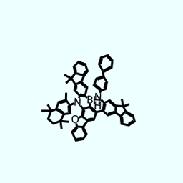 Cc1cc2c(cc1N1c3cc4c(cc3Bc3c(-c5cc6c(cc5Nc5ccc(-c7ccccc7)cc5)C(C)(C)c5ccccc5-6)cc5c(oc6ccccc65)c31)-c1ccccc1C4(C)C)C(C)(C)CCC2(C)C